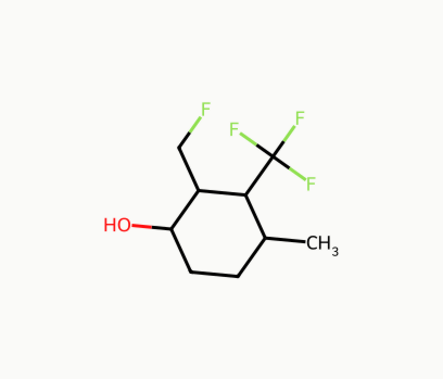 CC1CCC(O)C(CF)C1C(F)(F)F